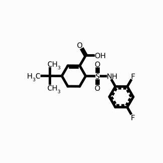 CC(C)(C)C1C=C(C(=O)O)C(S(=O)(=O)Nc2ccc(F)cc2F)CC1